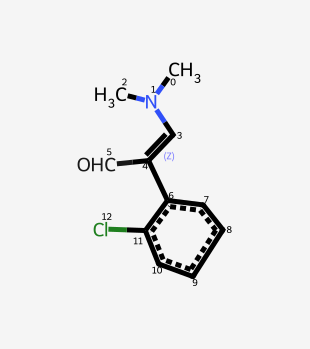 CN(C)/C=C(\C=O)c1ccccc1Cl